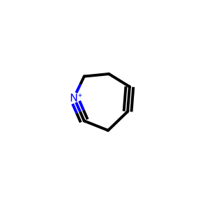 C1#CCC[N+]#CC1